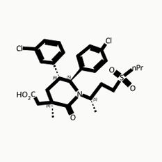 CCCS(=O)(=O)CC[C@H](C)N1C(=O)[C@@](C)(CC(=O)O)C[C@H](c2cccc(Cl)c2)[C@H]1c1ccc(Cl)cc1